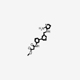 COC(=O)CC(=O)Nc1cccc(-c2cccc(CNc3cccnc3N)c2)c1